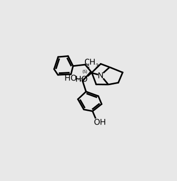 C[C@@H]([C@@H](O)c1ccc(O)cc1)N1C2CCC1CC(O)(Cc1ccccc1)C2